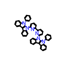 c1ccc(-n2c3ccccc3c3c4ccccc4n(-c4cccc(-c5cccc(-n6c7ccccc7c7c8ccccc8n(-c8ccccc8)c76)n5)n4)c32)cc1